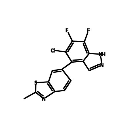 Cc1nc2ccc(-c3c(Cl)c(F)c(F)c4[nH]ncc34)cc2s1